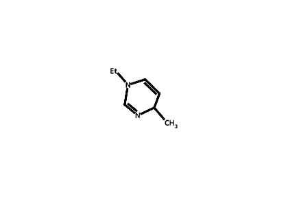 CCN1C=CC(C)N=C1